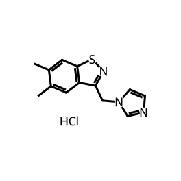 Cc1cc2snc(Cn3ccnc3)c2cc1C.Cl